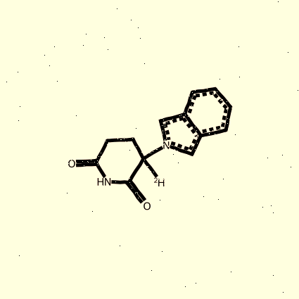 [2H]C1(n2cc3ccccc3c2)CCC(=O)NC1=O